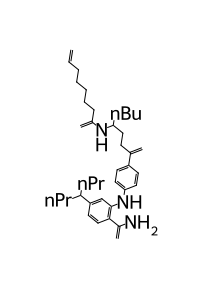 C=CCCCCCC(=C)NC(CCCC)CCC(=C)c1ccc(Nc2cc(C(CCC)CCC)ccc2C(=C)N)cc1